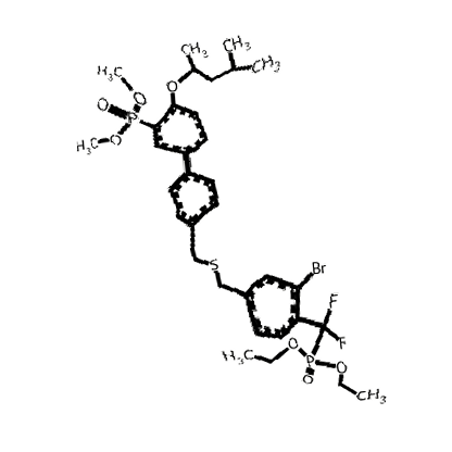 CCOP(=O)(OCC)C(F)(F)c1ccc(CSCc2ccc(-c3ccc(OC(C)CC(C)C)c(P(=O)(OC)OC)c3)cc2)cc1Br